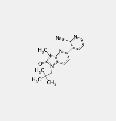 Cn1c(=O)n(CC(C)(C)C)c2ccc(-c3cccnc3C#N)nc21